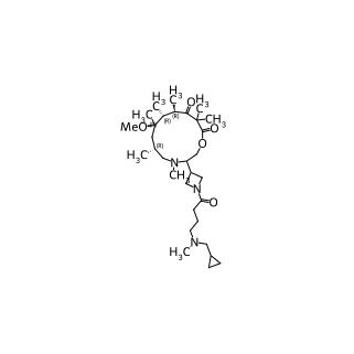 CO[C@]1(C)C[C@@H](C)CN(C)C(C2CN(C(=O)CCCN(C)CC3CC3)C2)COC(=O)C(C)(C)C(=O)[C@H](C)[C@H]1C